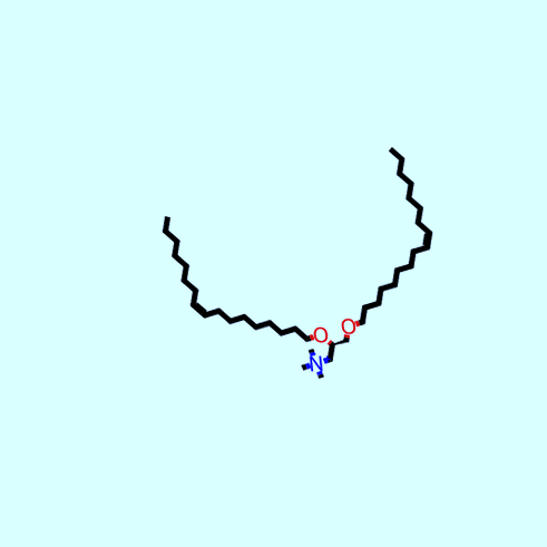 CCCCCCC/C=C\CCCCCCCCOC[C@@H](C[N+](C)(C)C)OCCCCCCCC/C=C\CCCCCCC